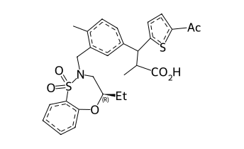 CC[C@@H]1CN(Cc2cc(C(c3ccc(C(C)=O)s3)C(C)C(=O)O)ccc2C)S(=O)(=O)c2ccccc2O1